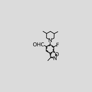 Cc1noc2c(F)c(N3CC(C)CC(C)C3)c(C=O)cc12